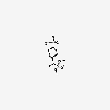 CO[Si](OC)(OC)C(C)c1ccc(S(=O)(=O)Cl)cc1